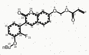 C=CC(=O)OCOc1ccc2cc(-c3cccc(OCCCC)c3F)c(=O)oc2c1